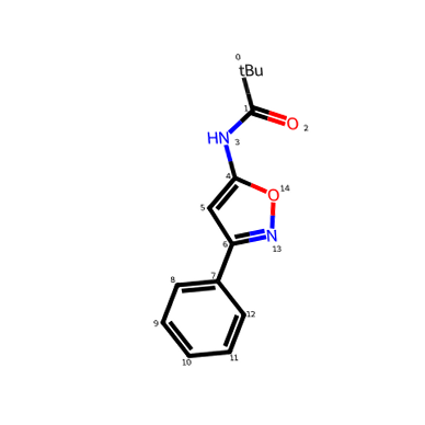 CC(C)(C)C(=O)Nc1cc(-c2ccccc2)no1